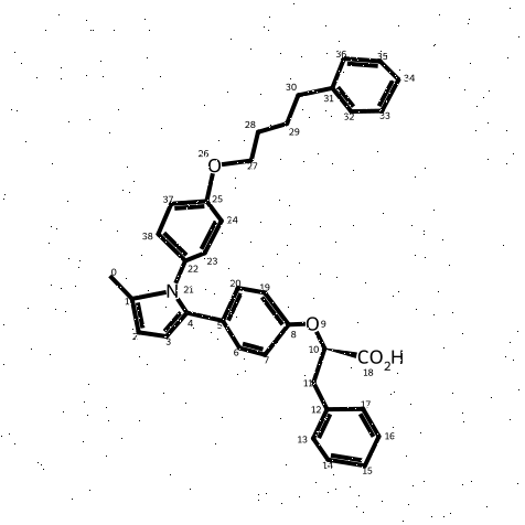 Cc1ccc(-c2ccc(O[C@H](Cc3ccccc3)C(=O)O)cc2)n1-c1ccc(OCCCCc2ccccc2)cc1